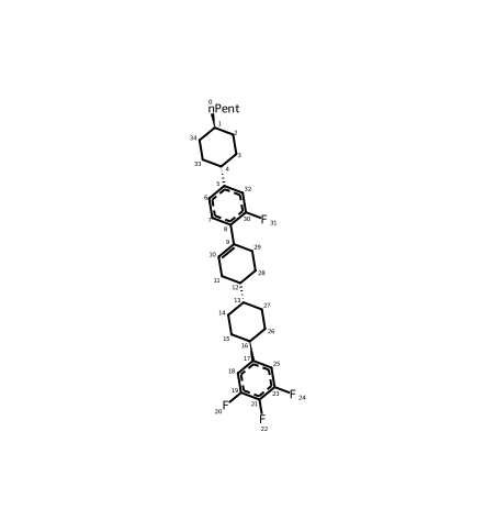 CCCCC[C@H]1CC[C@H](c2ccc(C3=CCC([C@H]4CC[C@H](c5cc(F)c(F)c(F)c5)CC4)CC3)c(F)c2)CC1